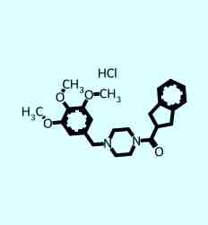 COc1cc(CN2CCN(C(=O)C3Cc4ccccc4C3)CC2)cc(OC)c1OC.Cl